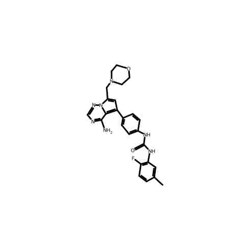 Cc1ccc(F)c(NC(=O)Nc2ccc(-c3cc(CN4CCOCC4)n4ncnc(N)c34)cc2)c1